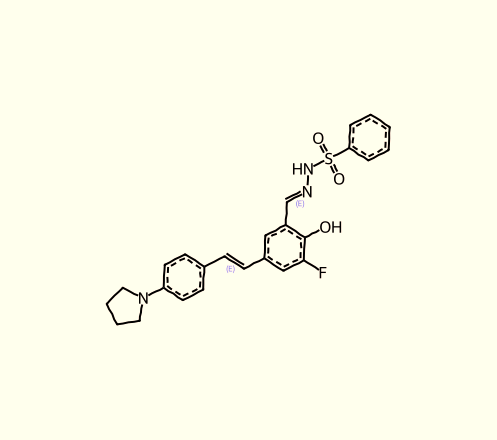 O=S(=O)(N/N=C/c1cc(/C=C/c2ccc(N3CCCC3)cc2)cc(F)c1O)c1ccccc1